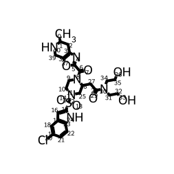 CC1Cc2nc(C(=O)N3CCN(S(=O)(=O)c4cc5cc(Cl)ccc5[nH]4)CC3CC(=O)N(CCO)CCO)oc2CN1